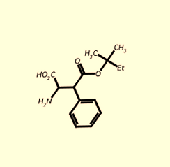 CCC(C)(C)OC(=O)C(c1ccccc1)C(N)C(=O)O